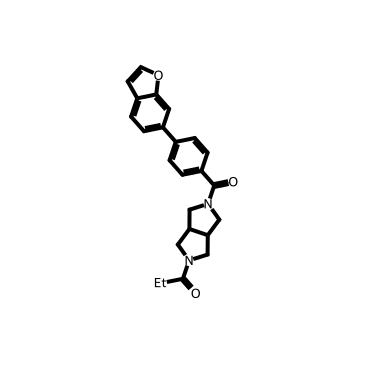 CCC(=O)N1CC2CN(C(=O)c3ccc(-c4ccc5ccoc5c4)cc3)CC2C1